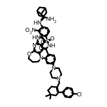 CC1(C)CCC(CN2CCN(c3ccc(C(=O)NS(=O)(=O)c4ccc(NCC5C6CC5CC(C)(N)C6)c([N+](=O)[O-])c4)c(N4CCCOc5nc6[nH]ccc6cc54)c3)CC2)=C(c2ccc(Cl)cc2)C1